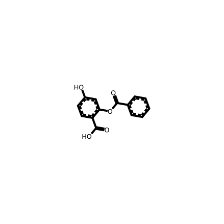 O=C(Oc1cc(O)ccc1C(=O)O)c1ccccc1